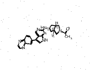 CC(=O)N1C[C@H]2C[C@H](Nc3ncc4c(-c5ccc6nccnc6c5)c[nH]c4n3)C[C@H]2C1